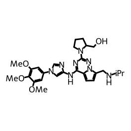 COc1cc(-n2cnc(Nc3nc(N4CCCC4CO)nn4c(CNC(C)C)ccc34)c2)cc(OC)c1OC